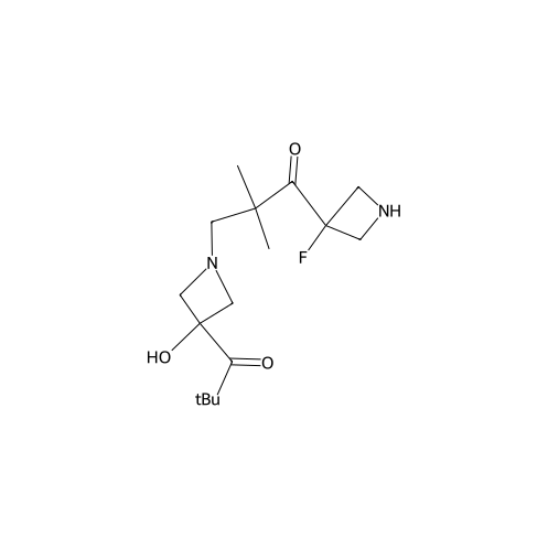 CC(C)(C)C(=O)C1(O)CN(CC(C)(C)C(=O)C2(F)CNC2)C1